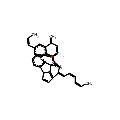 C=C(/C=C\C1=Cc2ccc3c(c2)C(C)(C)C2=C(C=CC23)C(=C/C=C\C=C/C)/C=C/1)c1cc(/C=C\C)ccc1/C(C)=N/CC